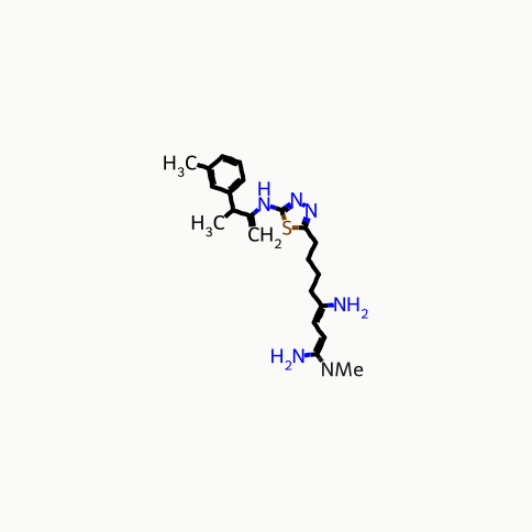 C=C(Nc1nnc(CCCC/C(N)=C/C=C(\N)NC)s1)C(C)c1cccc(C)c1